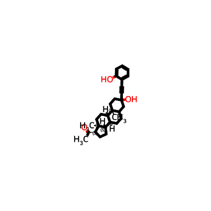 CC(=O)[C@H]1CC[C@H]2[C@@H]3CCC4CC(O)(C#Cc5ccccc5O)CC[C@]4(C)[C@H]3CC[C@]12C